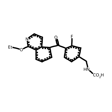 CCOc1nccc2c(C(=O)c3ccc(CNC(=O)O)cc3F)cccc12